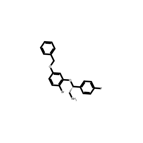 NC[C@H](Oc1cc(OCc2ccccc2)ccc1Br)c1ccc(F)cc1